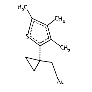 CC(=O)CC1(c2sc(C)c(C)c2C)CC1